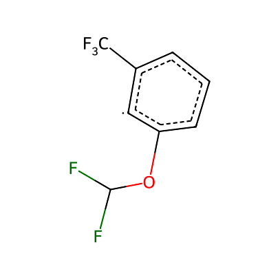 FC(F)Oc1[c]c(C(F)(F)F)ccc1